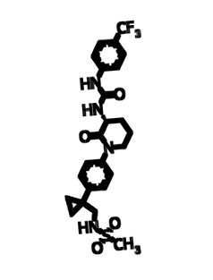 CS(=O)(=O)NCC1(c2ccc(N3CCC[C@@H](NC(=O)Nc4ccc(C(F)(F)F)cc4)C3=O)cc2)CC1